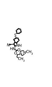 CCC(OC(=O)Nc1[nH]c2ccc(Sc3ccccc3)cc2c1C#N)N1CCN(C)CC1